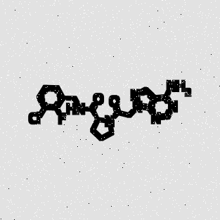 Nc1ncnc2c1cnn2CC(=O)N1CCC[C@H]1C(=O)NCc1cccc(Cl)c1F